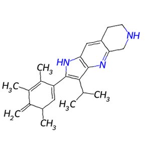 C=C1C(C)=C(C)C(c2[nH]c3cc4c(nc3c2C(C)C)CNCC4)=CC1C